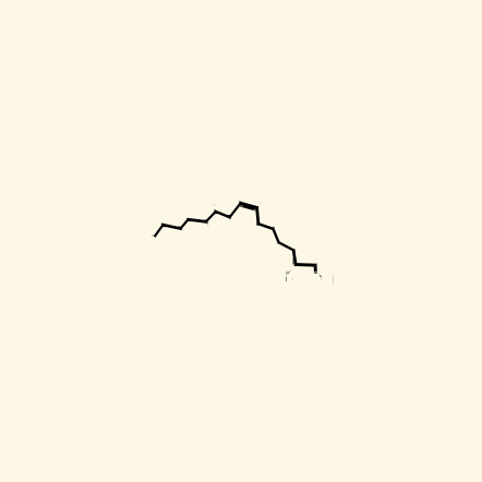 CCCCCCC/C=C\CCCC[C@H](I)CO